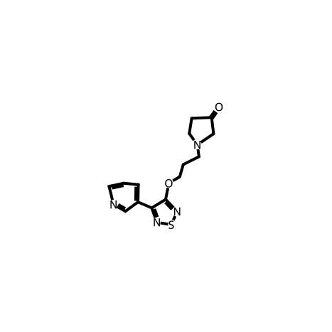 O=C1CCN(CCCOc2nsnc2-c2cccnc2)C1